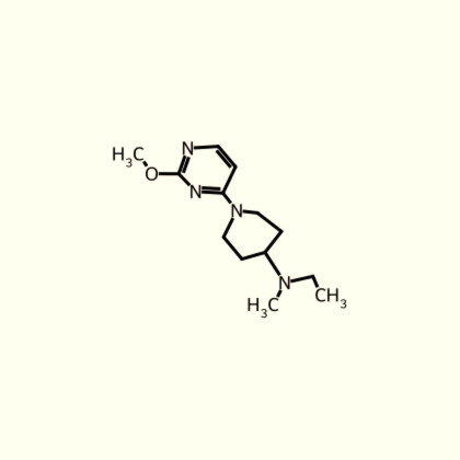 CCN(C)C1CCN(c2ccnc(OC)n2)CC1